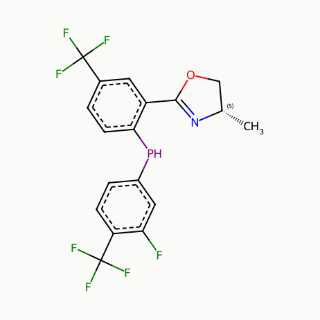 C[C@H]1COC(c2cc(C(F)(F)F)ccc2Pc2ccc(C(F)(F)F)c(F)c2)=N1